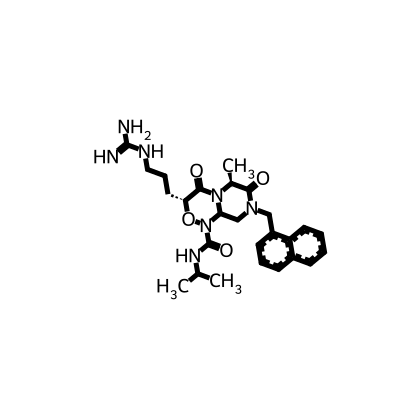 CC(C)NC(=O)N1O[C@H](CCCNC(=N)N)C(=O)N2C1CN(Cc1cccc3ccccc13)C(=O)[C@@H]2C